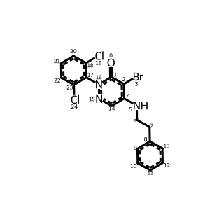 O=c1c(Br)c(NCCc2ccccc2)cnn1-c1c(Cl)cccc1Cl